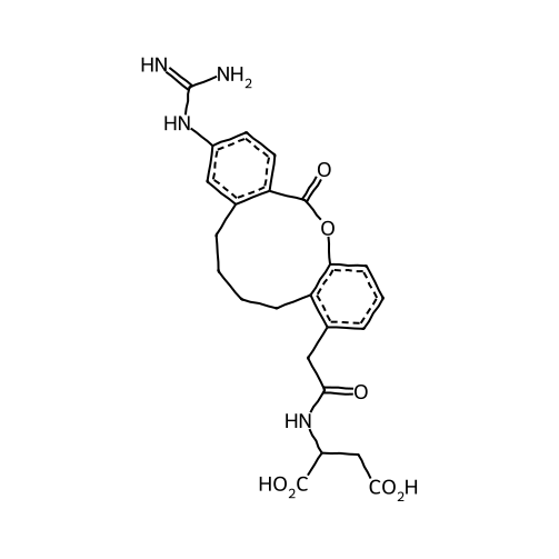 N=C(N)Nc1ccc2c(c1)CCCCc1c(CC(=O)NC(CC(=O)O)C(=O)O)cccc1OC2=O